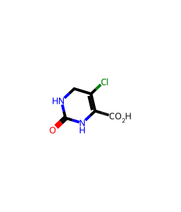 O=C1NCC(Cl)=C(C(=O)O)N1